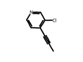 CC#Cc1ccncc1Cl